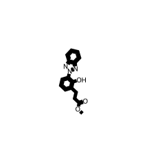 COC(=O)CCc1cccc(-n2nc3ccccc3n2)c1O